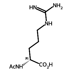 CC(=O)N[C@H](CCCNC(=N)N)C(=O)O